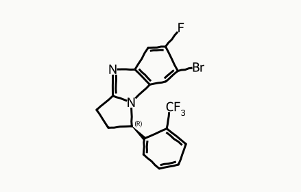 Fc1cc2nc3n(c2cc1Br)[C@@H](c1ccccc1C(F)(F)F)CC3